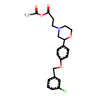 O=C(CCN1CCOC(c2ccc(OCc3cccc(Cl)c3)cc2)C1)OC(=O)C(F)(F)F